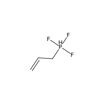 C=CC[PH](F)(F)F